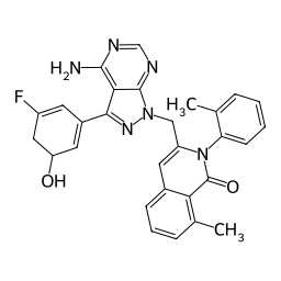 Cc1ccccc1-n1c(Cn2nc(C3=CC(O)CC(F)=C3)c3c(N)ncnc32)cc2cccc(C)c2c1=O